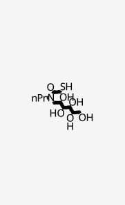 CCCN(C[C@H](O)[C@@H](O)[C@H](O)[C@H](O)CO)C(=O)CS